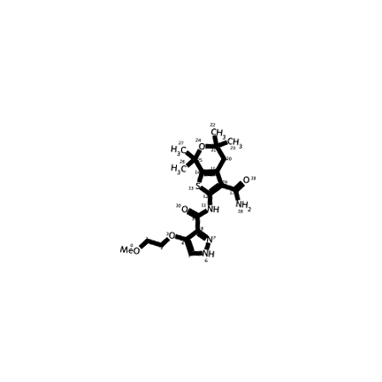 COCCOc1c[nH]nc1C(=O)Nc1sc2c(c1C(N)=O)CC(C)(C)OC2(C)C